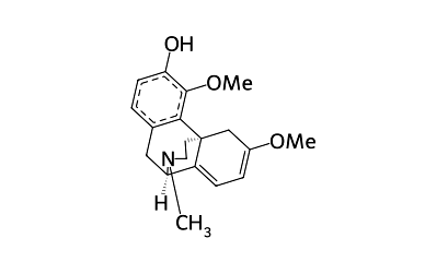 COC1=CC=C2[C@H]3Cc4ccc(O)c(OC)c4[C@@]2(CCN3C)C1